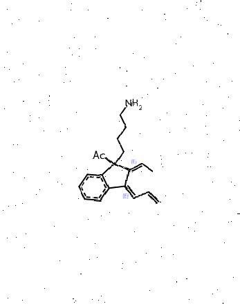 C=C/C=C1\C(=C/C)C(CCCCN)(C(C)=O)c2ccccc21